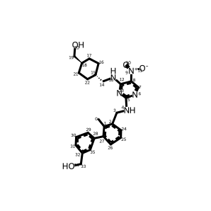 Cc1c(CNc2ncc([N+](=O)[O-])c(NC[C@H]3CC[C@H](CO)CC3)n2)cccc1-c1cccc(CO)c1